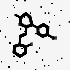 Cc1ccc(-c2ccc(O)cc2)c(C=Cc2ccccc2Cl)n1